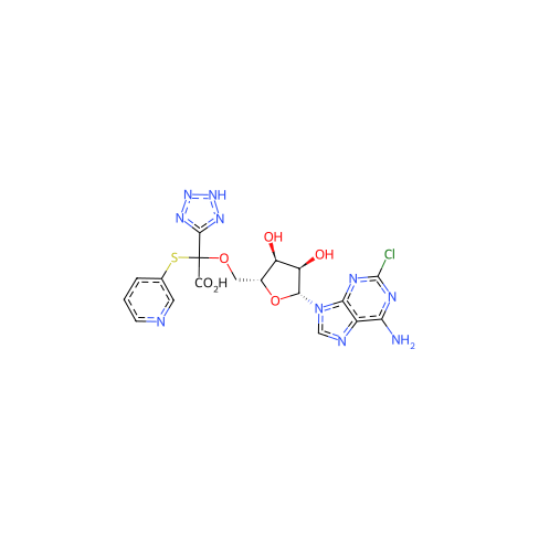 Nc1nc(Cl)nc2c1ncn2[C@@H]1O[C@H](COC(Sc2cccnc2)(C(=O)O)c2nn[nH]n2)[C@@H](O)[C@H]1O